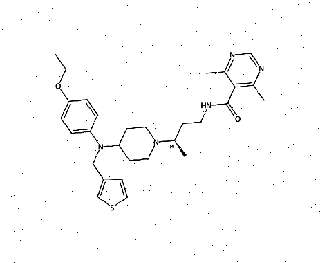 CCOc1ccc(N(Cc2ccsc2)C2CCN([C@H](C)CCNC(=O)c3c(C)ncnc3C)CC2)cc1